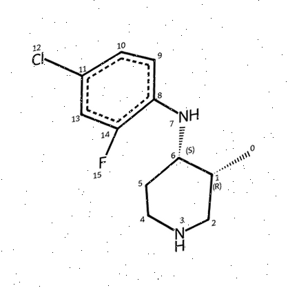 C[C@@H]1CNCC[C@@H]1Nc1ccc(Cl)cc1F